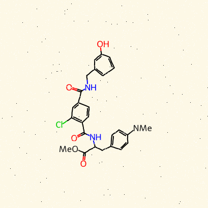 CNc1ccc(CC(NC(=O)c2ccc(C(=O)NCc3cccc(O)c3)cc2Cl)C(=O)OC)cc1